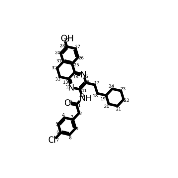 O=C(Cc1ccc(Cl)cc1)Nc1nc2c(nc1CCC1CCCCC1)-c1ccc(O)cc1CC2